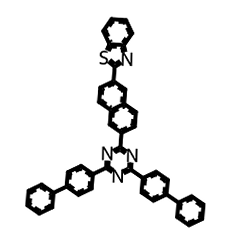 c1ccc(-c2ccc(-c3nc(-c4ccc(-c5ccccc5)cc4)nc(-c4ccc5cc(-c6nc7ccccc7s6)ccc5c4)n3)cc2)cc1